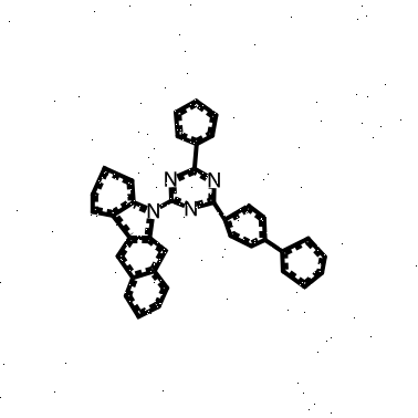 c1ccc(-c2ccc(-c3nc(-c4ccccc4)nc(-n4c5ccccc5c5cc6ccccc6cc54)n3)cc2)cc1